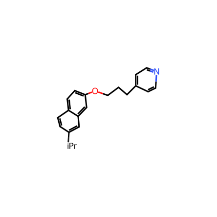 CC(C)c1ccc2ccc(OCCCc3ccncc3)cc2c1